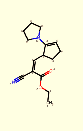 CCOC(=O)C(C#N)=CC1CCC=C1N1CCCC1